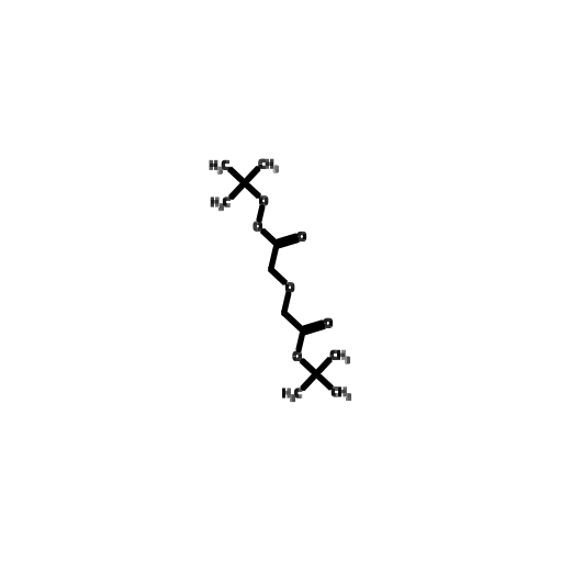 CC(C)(C)OOC(=O)COCC(=O)OC(C)(C)C